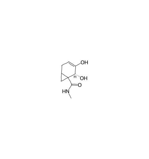 CNC(=O)C12CC1CC=C(O)[C@@H]2O